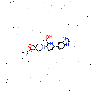 C[C@H]1CC2(CCN(c3ncc(-c4ccc5nccnc5c4)nc3CO)CC2)CO1